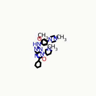 COc1cc(N2CCN(C)CC2)ccc1Nc1ncc2nc(C3CCCCC3)c(=O)n([C@@H]3CCCN(C)C3)c2n1